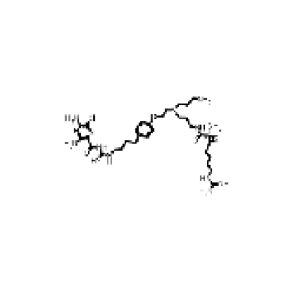 N=C(N)NCCCCC1S[C@]1(N)C(=O)NCCCN(CCCN)CCOc1ccc(CCCCNC(=N)NC(=O)c2nc(Cl)c(N)nc2N)cc1